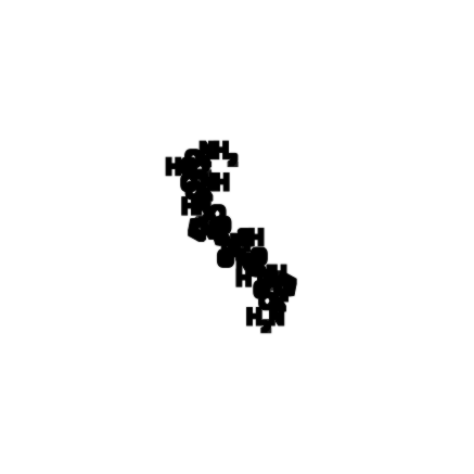 NCC(=O)N1CCC[C@H]1C(=O)NCC(=O)N[C@@H](CS)C(=O)NCC(=O)N1CCC[C@H]1C(=O)NCC(=O)N[C@@H](CC(N)=O)C(=O)O